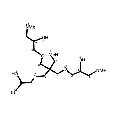 CCC(O)COCC(CNC)(COCC(O)CNC)COCC(O)CNC